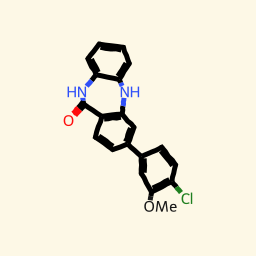 COc1cc(-c2ccc3c(c2)Nc2ccccc2NC3=O)ccc1Cl